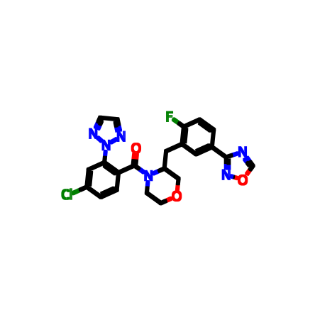 O=C(c1ccc(Cl)cc1-n1nccn1)N1CCOCC1Cc1cc(-c2ncon2)ccc1F